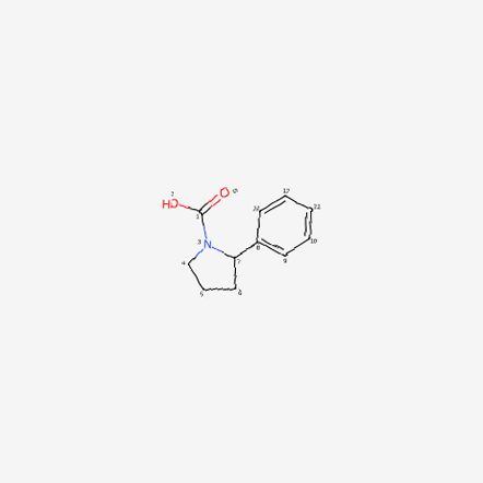 O=C(O)N1CC[CH]C1c1ccccc1